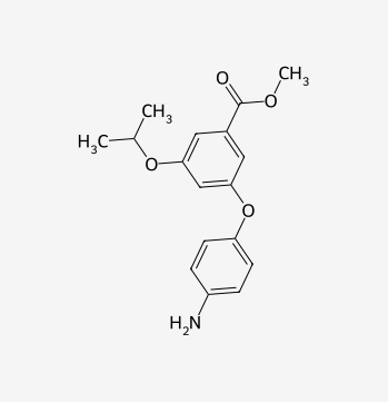 COC(=O)c1cc(Oc2ccc(N)cc2)cc(OC(C)C)c1